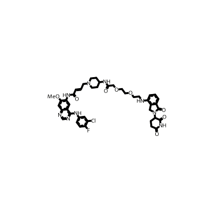 COc1cc2ncnc(Nc3ccc(F)c(Cl)c3)c2cc1NC(=O)/C=C/CN1CCC(NC(=O)COCCOCCNc2cccc3c2CN(C2CCC(=O)NC2=O)C3=O)CC1